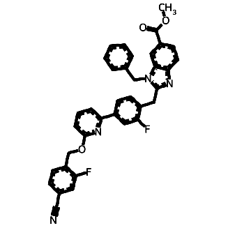 COC(=O)c1ccc2nc(Cc3ccc(-c4cccc(OCc5ccc(C#N)cc5F)n4)cc3F)n(Cc3ccccc3)c2c1